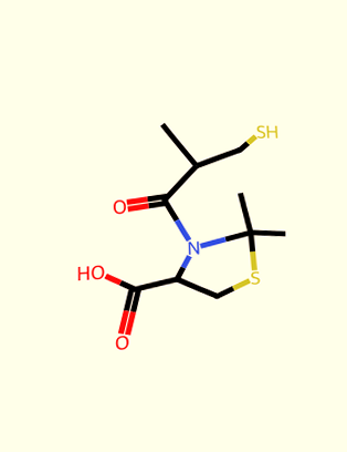 CC(CS)C(=O)N1C(C(=O)O)CSC1(C)C